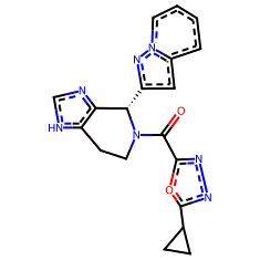 O=C(c1nnc(C2CC2)o1)N1CCc2[nH]cnc2[C@@H]1c1cc2ccccn2n1